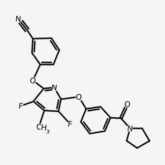 Cc1c(F)c(Oc2cccc(C#N)c2)nc(Oc2cccc(C(=O)N3CCCC3)c2)c1F